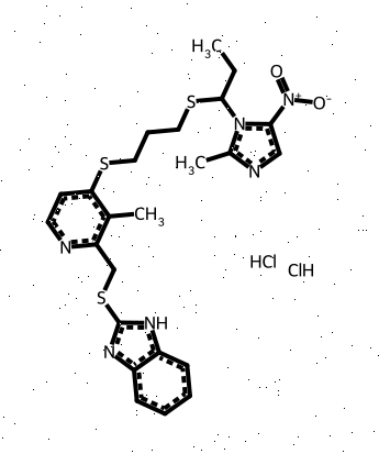 CCC(SCCCSc1ccnc(CSc2nc3ccccc3[nH]2)c1C)n1c([N+](=O)[O-])cnc1C.Cl.Cl